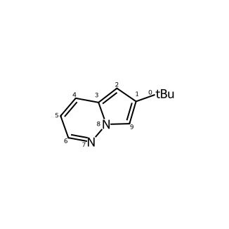 CC(C)(C)c1cc2cccnn2c1